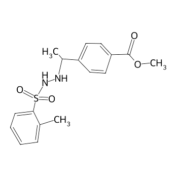 COC(=O)c1ccc(C(C)NNS(=O)(=O)c2ccccc2C)cc1